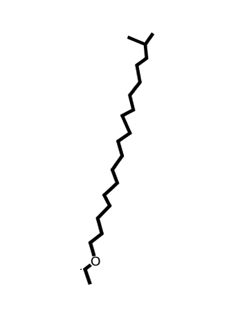 C[CH]OCCCCCCCCCCCCCCCCC(C)C